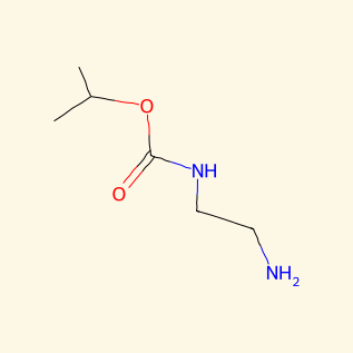 CC(C)OC(=O)NCCN